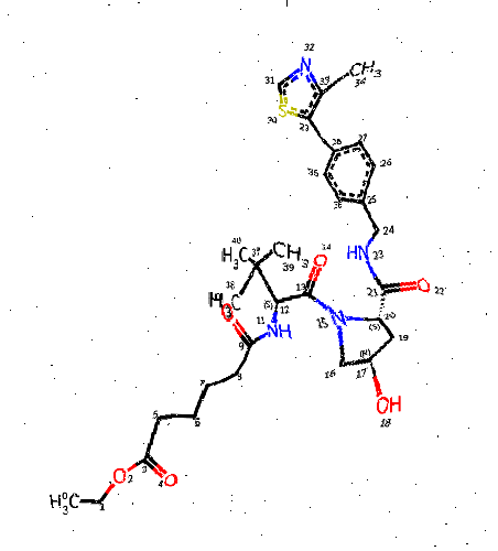 CCOC(=O)CCCCC(=O)N[C@H](C(=O)N1C[C@H](O)C[C@H]1C(=O)NCc1ccc(-c2scnc2C)cc1)C(C)(C)C